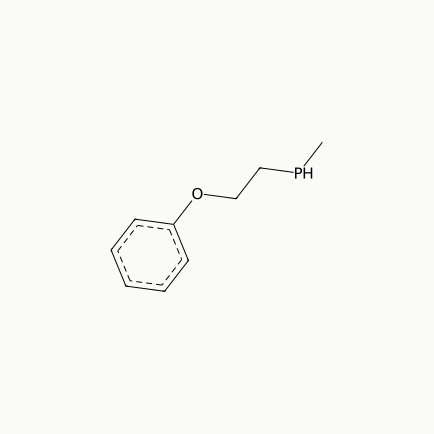 CPCCOc1ccccc1